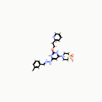 Cc1cccc(/C=N/Nc2cc(N3CCS(=O)(=O)CC3)nc(OCCc3ccccn3)n2)c1